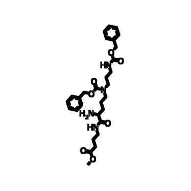 COC(=O)CCCNC(=O)C(N)CCCN(CCCNC(=O)OCc1ccccc1)C(=O)OCc1ccccc1